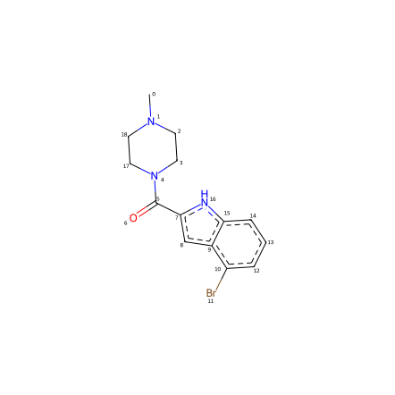 CN1CCN(C(=O)c2cc3c(Br)cccc3[nH]2)CC1